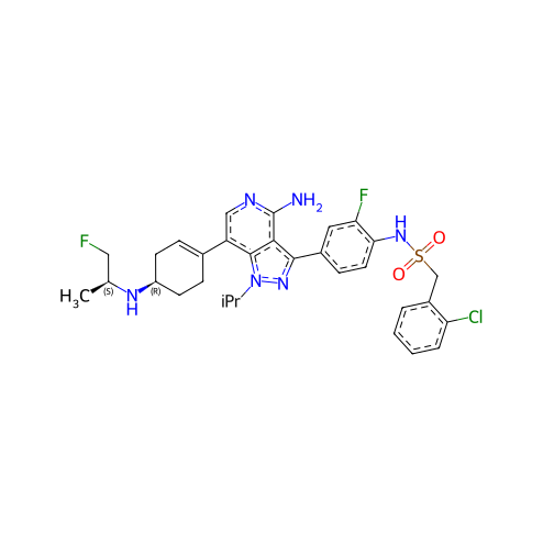 CC(C)n1nc(-c2ccc(NS(=O)(=O)Cc3ccccc3Cl)c(F)c2)c2c(N)ncc(C3=CC[C@H](N[C@@H](C)CF)CC3)c21